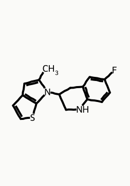 Cc1cc2ccsc2n1C1CNc2ccc(F)cc2C1